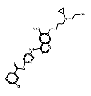 COc1cc2c(Nc3ccc(NC(=O)c4cccc(Cl)c4)nc3)ncnc2cc1OCCCN(CCO)C1CC1